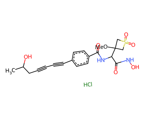 COC1(C(NC(=O)c2ccc(C#CC#CCC(C)O)cc2)C(=O)NO)CS(=O)(=O)C1.Cl